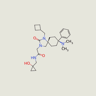 CN(C)[C@]1(c2ccccc2)CC[C@@]2(CC1)CN(CC(=O)NCC1(O)CC1)C(=O)N2CC1CCC1